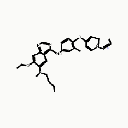 C/C=N\N1C=CC(Oc2ccc(Nc3ncnc4cc(OCC)c(N(C)CCCC)cc34)cc2C)=CC1